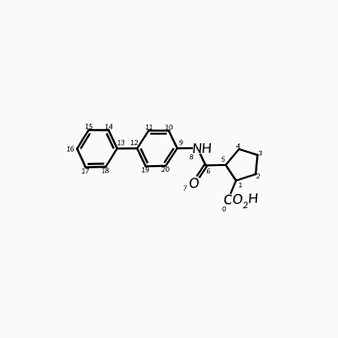 O=C(O)C1CCCC1C(=O)Nc1ccc(-c2ccccc2)cc1